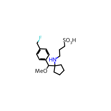 COC(c1ccc(CF)cc1)C1(NCCCS(=O)(=O)O)CCCC1